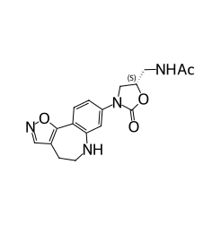 CC(=O)NC[C@H]1CN(c2ccc3c(c2)NCCc2cnoc2-3)C(=O)O1